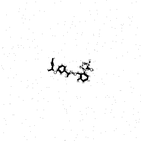 CC#CC(C)Oc1cccc(C(C)=NOCc2c(C)cccc2-n2nnn(C)c2=O)c1